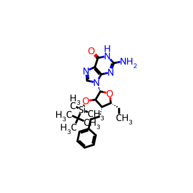 CC[C@H]1O[C@@H](n2cnc3c(=O)[nH]c(N)nc32)C(O[Si](C)(C)C(C)(C)C)[C@H]1CCc1ccccc1